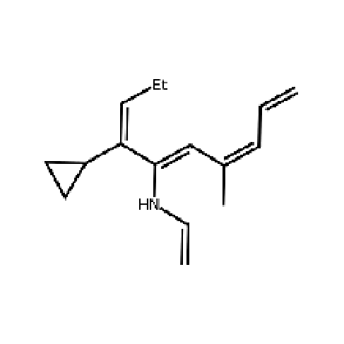 C=C\C=C(C)/C=C(NC=C)/C(=C\CC)C1CC1